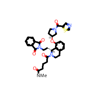 CNC(=O)CCCC(=O)N1CCc2cccc(O[C@H]3CCN(C(=O)c4cncs4)C3)c2[C@H]1CCN1C(=O)c2ccccc2C1=O